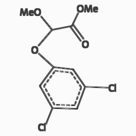 COC(=O)C(OC)Oc1cc(Cl)cc(Cl)c1